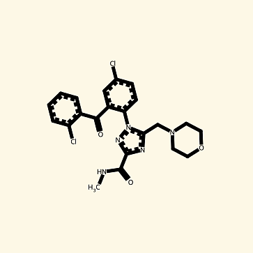 CNC(=O)c1nc(CN2CCOCC2)n(-c2ccc(Cl)cc2C(=O)c2ccccc2Cl)n1